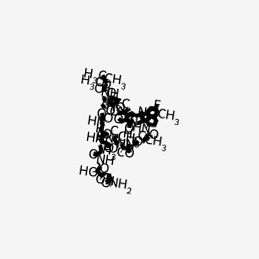 CC[C@@]1(O)C(=O)OCc2c1cc1n(c2=O)Cc2c-1nc1cc(F)c(C)c3c1c2[C@@H](NC(=O)C(C)(C)COCNC(=O)[C@H](C)NC(=O)[C@@H](NC(=O)[C@H](CCC(=O)NC[C@H]1O[C@@H](CC(N)=O)[C@H](O)[C@@H]1O)NC(=O)CCNC(=O)OCC[C@H](CNC(=O)OC(C)(C)C)N1C(=O)C=CC1=O)C(C)C)CC3